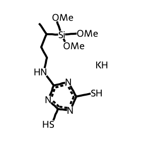 CO[Si](OC)(OC)C(C)CCNc1nc(S)nc(S)n1.[KH]